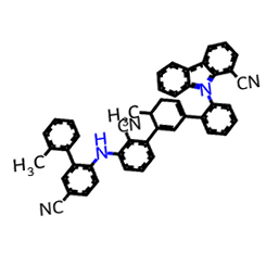 Cc1ccccc1-c1cc(C#N)ccc1Nc1cccc(C2=CC(c3ccccc3-n3c4ccccc4c4cccc(C#N)c43)=CCC2C)c1C#N